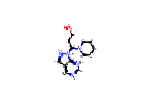 OCCC(N1CCCCC1)n1ncc2cncnc21